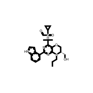 CCCN1c2nc(-c3cccc4[nH]ccc34)nc(C(C)(C)[SH](=O)(C=O)C3CC3)c2OC[C@@H]1CO